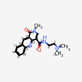 CN(C)CCNC(=O)c1cn(C)c(=O)c2cc3ccccc3nc12